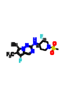 CCC(C)c1c(C(F)(F)F)c(F)c2cnc(N[C@@H]3CCN(S(C)(=O)=O)C[C@H]3F)nn12